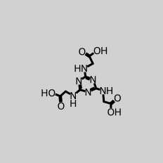 O=C(O)CNc1nc(NCC(=O)O)nc(NCC(=O)O)n1